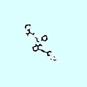 Cc1nn2cccnc2c1C(=O)N[C@H](C)c1nc2cccc(C#Cc3cnn(S(=O)(=O)CN)c3)c2c(=O)n1-c1ccccc1